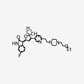 CCOCCN1CCN(CCc2ccc(C3=CC(=C4C(=O)Nc5cc(F)ccc54)OC3(C)C)cn2)CC1